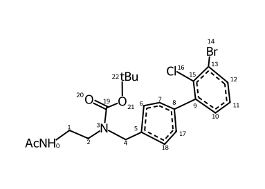 CC(=O)NCCN(Cc1ccc(-c2cccc(Br)c2Cl)cc1)C(=O)OC(C)(C)C